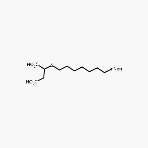 CCCCCCCCCCCCCCCCSC(CC(=O)O)C(=O)O